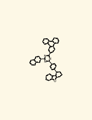 c1ccc2cc(-c3nc(-c4ccc(-c5cccc6oc7ccccc7c56)cc4)nc(-c4ccc5c6ccccc6c6ccccc6c5c4)n3)ccc2c1